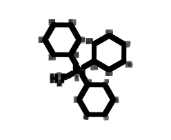 [PH2][Ru]([CH]1CCCCC1)([CH]1CCCCC1)[CH]1CCCCC1